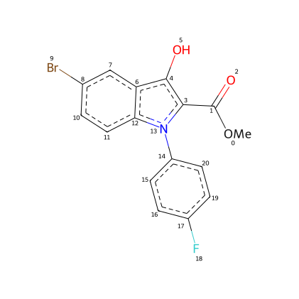 COC(=O)c1c(O)c2cc(Br)ccc2n1-c1ccc(F)cc1